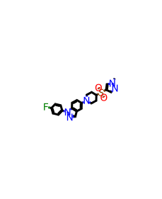 Cn1cc(S(=O)(=O)C2CCN(c3ccc4c(cnn4-c4ccc(F)cc4)c3)CC2)cn1